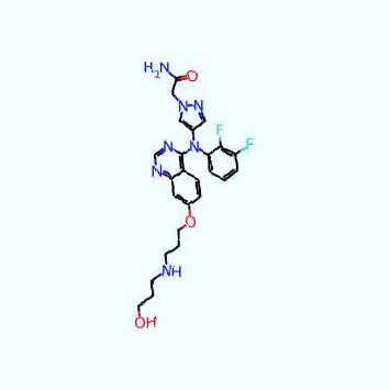 NC(=O)Cn1cc(N(c2cccc(F)c2F)c2ncnc3cc(OCCCNCCCO)ccc23)cn1